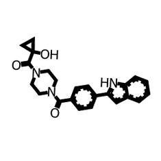 O=C(c1ccc(-c2cc3ccccc3[nH]2)cc1)N1CCN(C(=O)C2(O)CC2)CC1